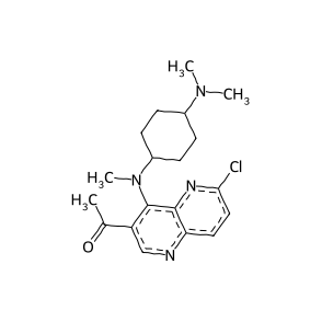 CC(=O)c1cnc2ccc(Cl)nc2c1N(C)C1CCC(N(C)C)CC1